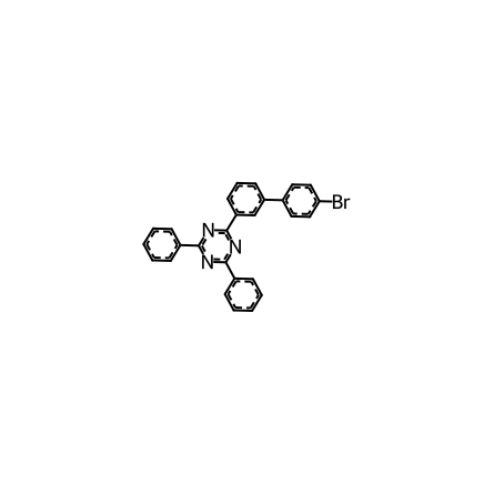 Brc1ccc(-c2cccc(-c3nc(-c4ccccc4)nc(-c4ccccc4)n3)c2)cc1